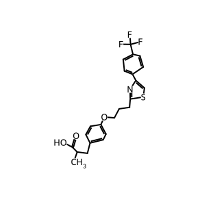 CC(Cc1ccc(OCCCc2nc(-c3ccc(C(F)(F)F)cc3)cs2)cc1)C(=O)O